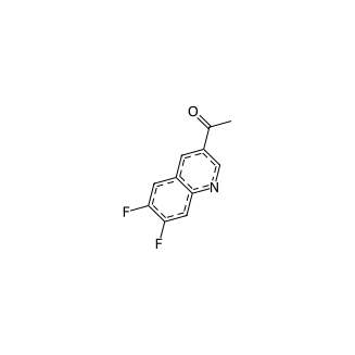 CC(=O)c1cnc2cc(F)c(F)cc2c1